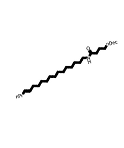 CCCC=CCCCCCCCCCCCCCNC(=O)CCCCCCCCCCCCC